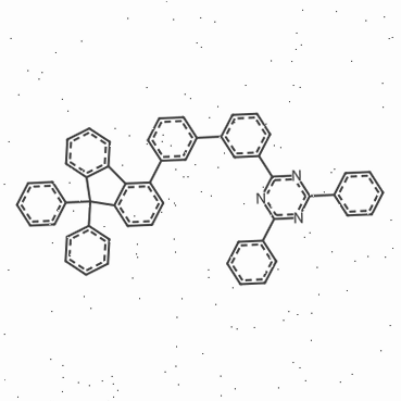 c1ccc(-c2nc(-c3ccccc3)nc(-c3cccc(-c4cccc(-c5cccc6c5-c5ccccc5C6(c5ccccc5)c5ccccc5)c4)c3)n2)cc1